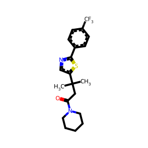 CC(C)(CC(=O)N1CCCCC1)c1cnc(-c2ccc(C(F)(F)F)cc2)s1